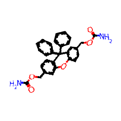 NC(=O)OCc1ccc2c(c1)Oc1ccc(COC(N)=O)cc1C2(c1ccccc1)c1ccccc1